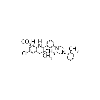 Cc1ccccc1N1CCN(c2cccc(C3Nc4c(cc(Cl)cc4C(=O)O)CC3(C)C)c2)CC1